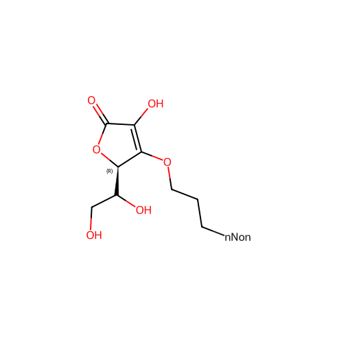 CCCCCCCCCCCCOC1=C(O)C(=O)O[C@@H]1C(O)CO